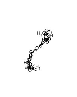 CC(=O)c1c(C)c2cnc(Nc3ccc(N4CCN(C(=O)CCOCCOCCOCCOCCC(=O)Nc5ccccc5C(=O)Nc5nc(C)c(C)s5)CC4)cn3)nc2n(C2CCCC2)c1=O